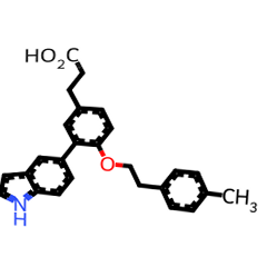 Cc1ccc(CCOc2ccc(CCC(=O)O)cc2-c2ccc3[nH]ccc3c2)cc1